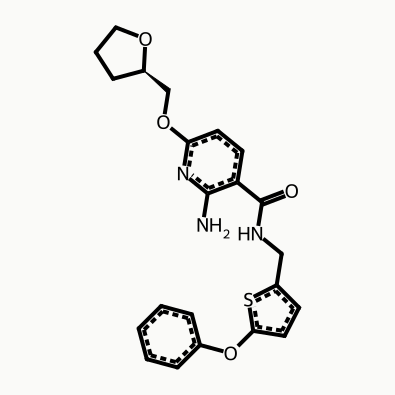 Nc1nc(OC[C@H]2CCCO2)ccc1C(=O)NCc1ccc(Oc2ccccc2)s1